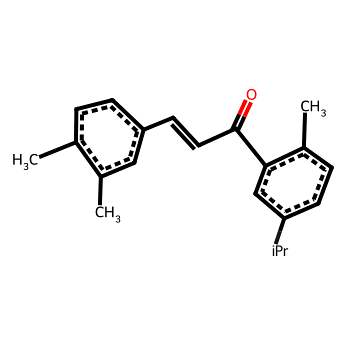 Cc1ccc(C=CC(=O)c2cc(C(C)C)ccc2C)cc1C